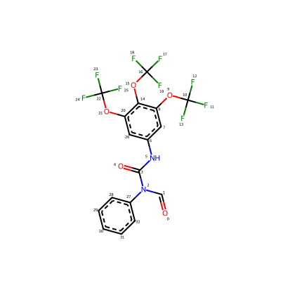 O=[C]N(C(=O)Nc1cc(OC(F)(F)F)c(OC(F)(F)F)c(OC(F)(F)F)c1)c1ccccc1